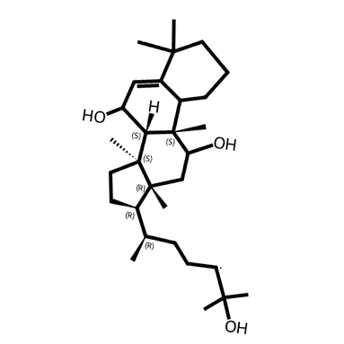 C[C@H](CC[CH]C(C)(C)O)[C@H]1CC[C@@]2(C)[C@@H]3C(O)C=C4C(CCCC4(C)C)[C@]3(C)C(O)C[C@]12C